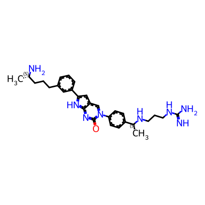 C[C@H](N)CCCc1cccc(-c2cc3cn(-c4ccc([C@H](C)NCCCNC(=N)N)cc4)c(=O)nc3[nH]2)c1